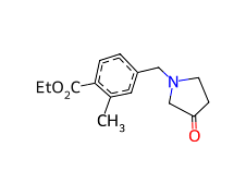 CCOC(=O)c1ccc(CN2CCC(=O)C2)cc1C